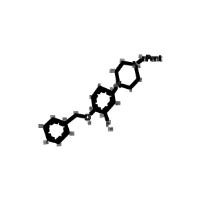 CCCCCN1CCN(c2ccc(OCc3ccccc3)c(F)c2)CC1